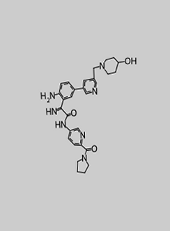 N=C(C(=O)Nc1ccc(C(=O)N2CCCC2)nc1)c1cc(-c2cncc(CN3CCC(O)CC3)c2)ccc1N